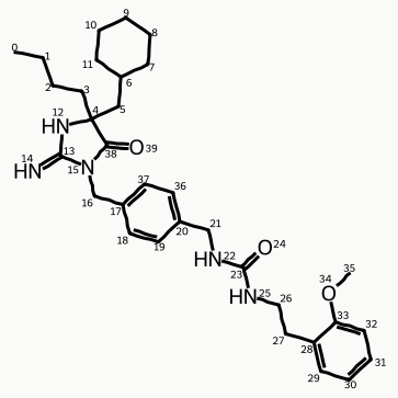 CCCCC1(CC2CCCCC2)NC(=N)N(Cc2ccc(CNC(=O)NCCc3ccccc3OC)cc2)C1=O